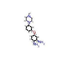 CN1CCN(c2cccc(Oc3ccc(N)c(N)c3)c2)CC1